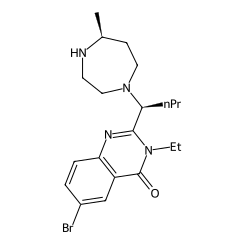 CCC[C@@H](c1nc2ccc(Br)cc2c(=O)n1CC)N1CCN[C@@H](C)CC1